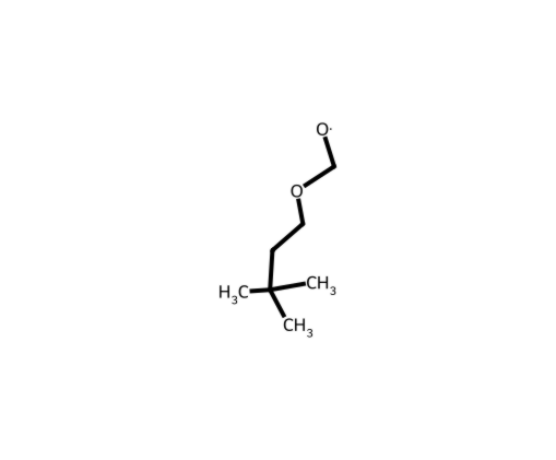 CC(C)(C)CCOC[O]